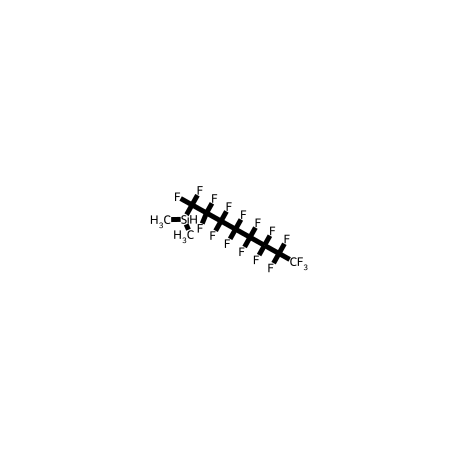 C[SiH](C)C(F)(F)C(F)(F)C(F)(F)C(F)(F)C(F)(F)C(F)(F)C(F)(F)C(F)(F)F